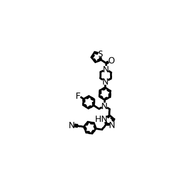 N#Cc1ccc(Cc2ncc(CN(Cc3ccc(F)cc3)c3ccc(N4CCN(C(=O)c5cccs5)CC4)cc3)[nH]2)cc1